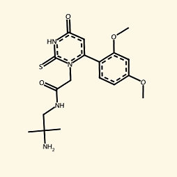 COc1ccc(-c2cc(=O)[nH]c(=S)n2CC(=O)NCC(C)(C)N)c(OC)c1